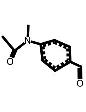 CC(=O)N(C)c1ccc(C=O)cc1